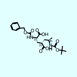 C[C@H](C[C@@H](C[C@H](NC(=O)OCc1ccccc1)C(=O)O)C(=O)O)NC(=O)OC(C)(C)C